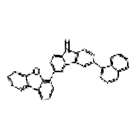 c1ccc2c(-c3ccc4[nH]c5ccc(-c6cccc7c6oc6ccccc67)cc5c4c3)cccc2c1